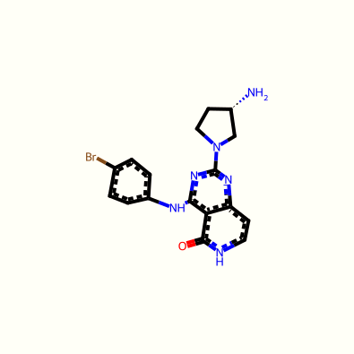 N[C@H]1CCN(c2nc(Nc3ccc(Br)cc3)c3c(=O)[nH]ccc3n2)C1